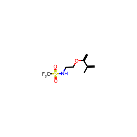 C=C(C)C(=C)OCCNS(=O)(=O)C(F)(F)F